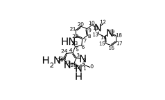 Cc1nc2c(C3Cc4cc(CN(C)Cc5ccccn5)ccc4N3)cc(N)nc2[nH]1